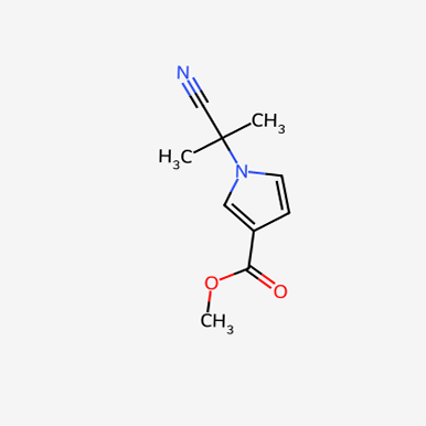 COC(=O)c1ccn(C(C)(C)C#N)c1